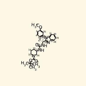 COc1ccc(C[C@@H](NC(=O)NC2CCCN(C(=O)OC(C)(C)C)C2)c2nc3ccccc3[nH]2)cc1